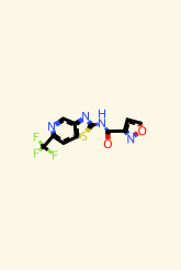 O=C(Nc1nc2cnc(C(F)(F)F)cc2s1)c1ccon1